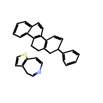 C1=CC(c2ccccc2)CC2=C1c1ccc3ccccc3c1CC2.C1=Cc2sccc2CC=N1